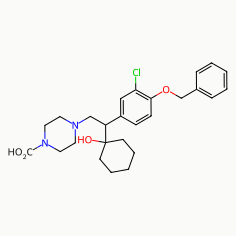 O=C(O)N1CCN(CC(c2ccc(OCc3ccccc3)c(Cl)c2)C2(O)CCCCC2)CC1